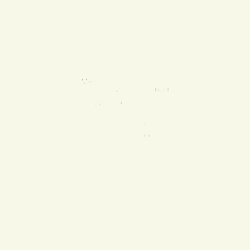 CCCCOc1cc(Oc2ccccc2)ccc1CC(=O)OC